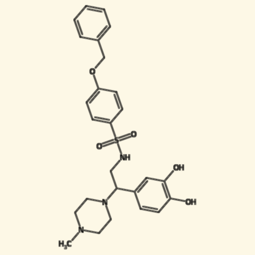 CN1CCN(C(CNS(=O)(=O)c2ccc(OCc3ccccc3)cc2)c2ccc(O)c(O)c2)CC1